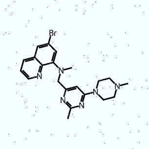 Cc1nc(CN(C)c2cc(Br)cc3cccnc23)cc(N2CCN(C)CC2)n1